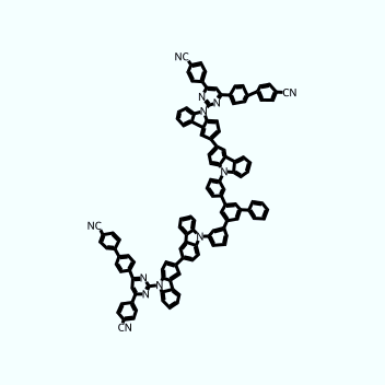 N#Cc1ccc(-c2ccc(-c3cc(-c4ccc(C#N)cc4)nc(-n4c5ccccc5c5cc(-c6ccc7c(c6)c6ccccc6n7-c6cccc(-c7cc(-c8ccccc8)cc(-c8cccc(-n9c%10ccccc%10c%10cc(-c%11ccc%12c(c%11)c%11ccccc%11n%12-c%11nc(-c%12ccc(C#N)cc%12)cc(-c%12ccc(-c%13ccc(C#N)cc%13)cc%12)n%11)ccc%109)c8)c7)c6)ccc54)n3)cc2)cc1